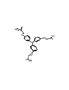 CC(S)COc1ccc(C(c2ccc(OCC(C)S)cc2)c2ccc(OCC(C)S)cc2)cc1